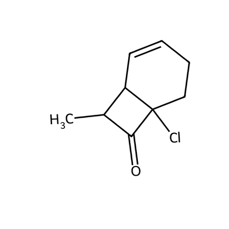 CC1C(=O)C2(Cl)CCC=CC12